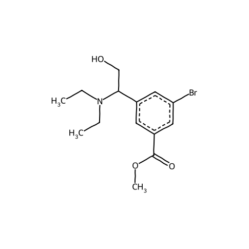 CCN(CC)C(CO)c1cc(Br)cc(C(=O)OC)c1